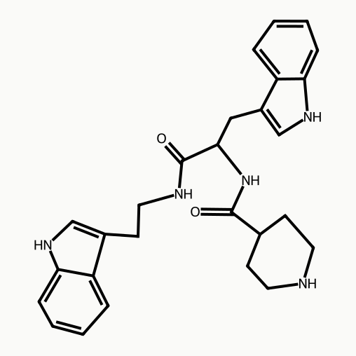 O=C(NC(Cc1c[nH]c2ccccc12)C(=O)NCCc1c[nH]c2ccccc12)C1CCNCC1